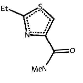 CCc1nc(C(=O)NC)cs1